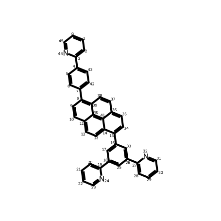 c1ccc(-c2ccc(-c3ccc4ccc5c(-c6cc(-c7ccccn7)cc(-c7ccccn7)c6)ccc6ccc3c4c65)cc2)nc1